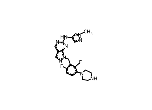 Cn1cc(Nc2ncc3cnn(Cc4c(F)ccc(N5CCNCC5)c4F)c3n2)cn1